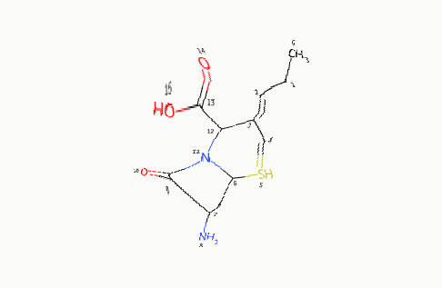 CCC=C1C=[SH]C2C(N)C(=O)N2C1C(=O)O